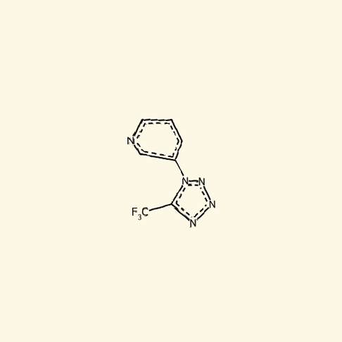 FC(F)(F)c1nnnn1-c1cccnc1